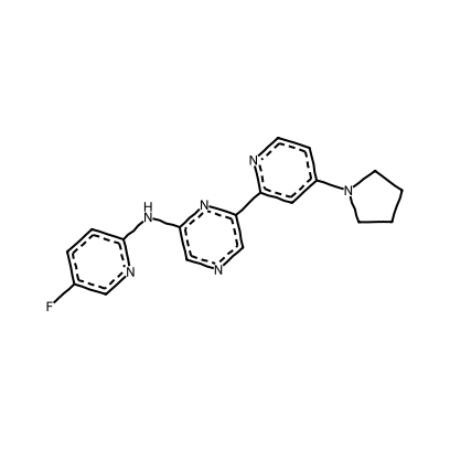 Fc1ccc(Nc2cncc(-c3cc(N4CCCC4)ccn3)n2)nc1